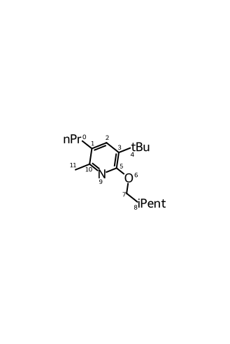 CCCc1cc(C(C)(C)C)c(OCC(C)CCC)nc1C